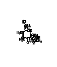 CC[C@H]1OC(=O)C[C@@H](O)[C@H](C)[C@@H](O[C@@H]2O[C@H](C)C(O)C(N(C)C)C2O)[C@@H](CC=O)C[C@@H](C)C(=O)/C=C/C(C)=C/[C@@H]1Cn1cc(-c2ccccc2)nn1